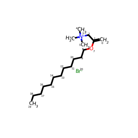 C=C(C[N+](C)(C)C)OCCCCCCCCCCCC.[Br-]